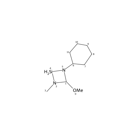 COC1N(C)[SiH2]N1C1CCCCC1